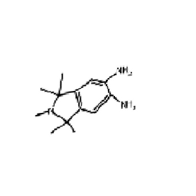 CN1C(C)(C)c2cc(N)c(N)cc2C1(C)C